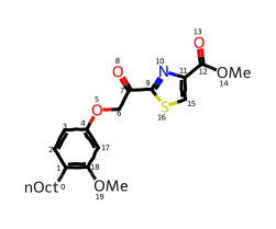 CCCCCCCCc1ccc(OCC(=O)c2nc(C(=O)OC)cs2)cc1OC